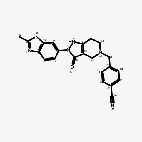 Cc1nc2ccc(-n3[nH]c4c(c3=O)CN(Cc3ccc(C#N)cc3)CC4)cc2s1